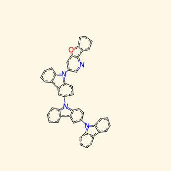 c1ccc2c(c1)oc1cc(-n3c4ccccc4c4cc(-n5c6ccccc6c6cc(-n7c8ccccc8c8ccccc87)ccc65)ccc43)cnc12